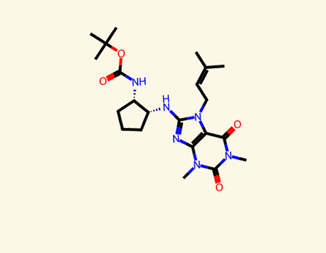 CC(C)=CCn1c(N[C@@H]2CCC[C@@H]2NC(=O)OC(C)(C)C)nc2c1c(=O)n(C)c(=O)n2C